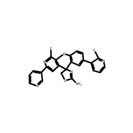 NC1=NC2(CO1)c1cc(-c3cccnc3F)ccc1Oc1c2cc(-c2cccnc2)nc1F